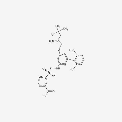 Cc1cccc(C)c1-c1cc(OC[C@H](N)CC(C)(C)C)nc(NCS(=N)(=O)c2cccc(C(=O)O)c2)n1